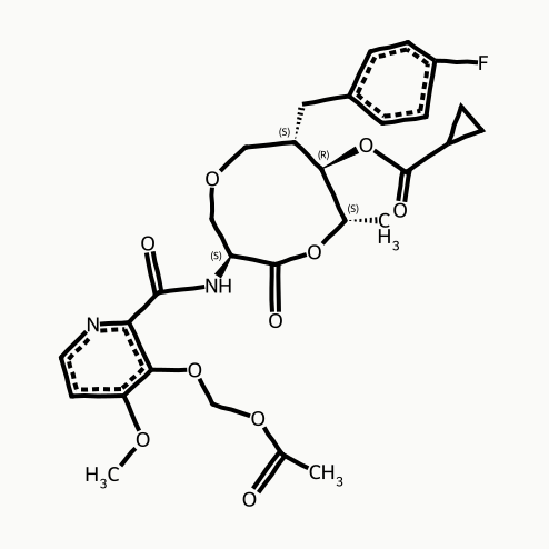 COc1ccnc(C(=O)N[C@H]2COC[C@H](Cc3ccc(F)cc3)[C@@H](OC(=O)C3CC3)[C@H](C)OC2=O)c1OCOC(C)=O